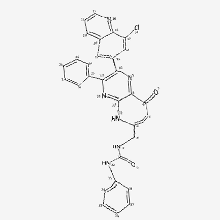 O=C(NCc1cc(=O)c2nc(-c3cc(Cl)c4ncccc4c3)c(-c3ccccc3)nc2[nH]1)Nc1ccccc1